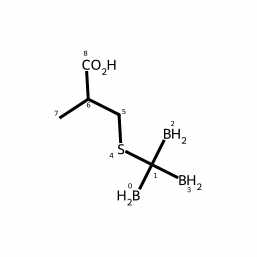 BC(B)(B)SCC(C)C(=O)O